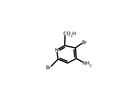 Nc1cc(Br)nc(C(=O)O)c1Br